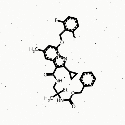 CCC(C)(CNC(=O)c1c(C2CC2)nn2c(OCc3c(F)cccc3F)cc(C)cc12)NC(=O)OCc1ccccc1